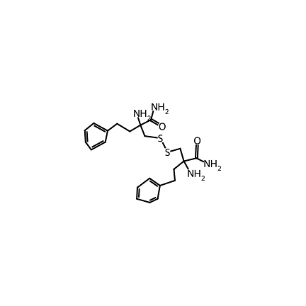 NC(=O)C(N)(CCc1ccccc1)CSSCC(N)(CCc1ccccc1)C(N)=O